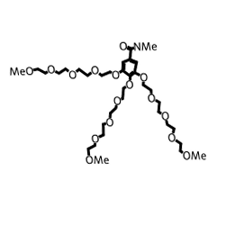 CNC(=O)c1cc(OCCOCCOCCOCCOC)c(OCCOCCOCCOCCOC)c(OCCOCCOCCOCCOC)c1